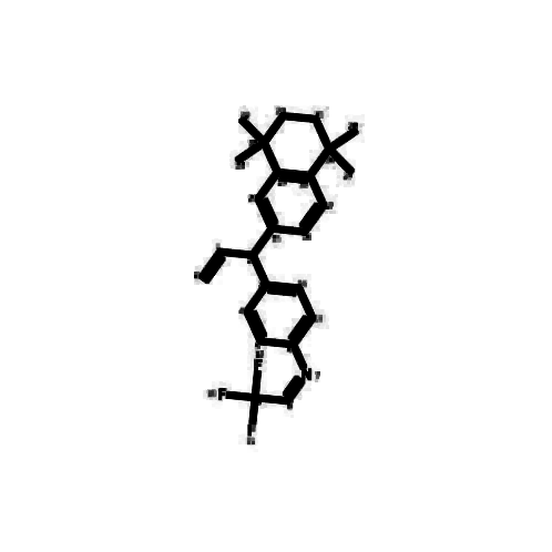 C=CC(c1ccc(/N=[C]\C(F)(F)F)cc1)c1ccc2c(c1)C(C)(C)CCC2(C)C